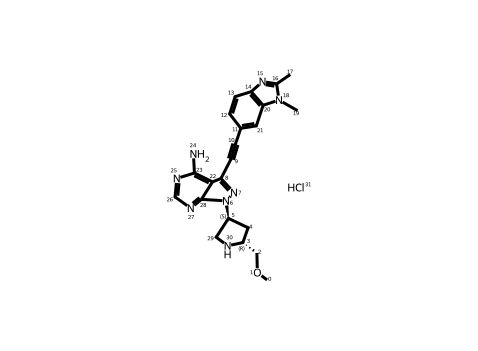 COC[C@H]1C[C@H](n2nc(C#Cc3ccc4nc(C)n(C)c4c3)c3c(N)ncnc32)CN1.Cl